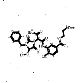 CCCCCCCCCCCCOC(=O)c1ccc(Cl)c(NC(=O)C(C(=O)C(C)(C)C)N2C(=O)C(OCC)N(Cc3ccccc3)C2=O)c1